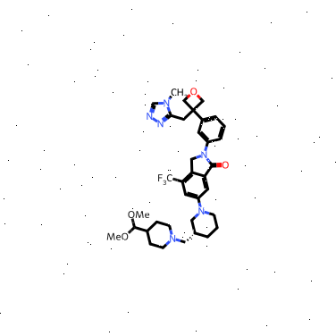 COC(OC)C1CCN(C[C@H]2CCCN(c3cc4c(c(C(F)(F)F)c3)CN(c3cccc(C5(Cc6nncn6C)COC5)c3)C4=O)C2)CC1